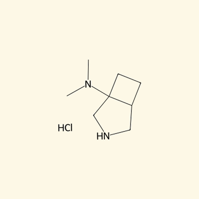 CN(C)C12CCC1CNC2.Cl